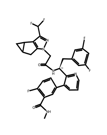 CNC(=O)c1cc(-c2cccnc2[C@H](Cc2cc(F)cc(F)c2)NC(=O)Cn2nc(C(F)F)c3c2CC2CC32)ccc1F